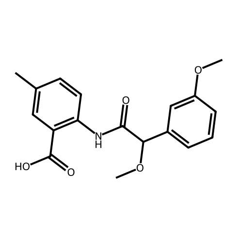 COc1cccc(C(OC)C(=O)Nc2ccc(C)cc2C(=O)O)c1